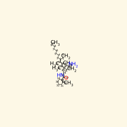 C=C/C(CCCCCCCC)=C(C)\C(C)=C(/C)C(C=C)(CCN)CCNC(=O)C1=C(C)CCCC1